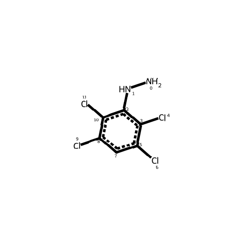 NNc1c(Cl)c(Cl)cc(Cl)c1Cl